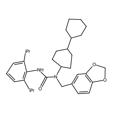 CC(C)c1cccc(C(C)C)c1NC(=O)N(Cc1ccc2c(c1)OCO2)C1CCC(C2CCCCC2)CC1